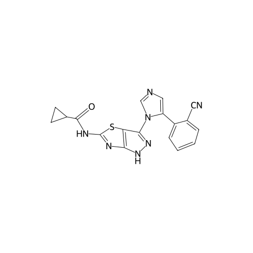 N#Cc1ccccc1-c1cncn1-c1n[nH]c2nc(NC(=O)C3CC3)sc12